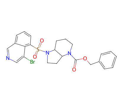 O=C(OCc1ccccc1)N1CCCC2C1CCN2S(=O)(=O)c1cccc2cncc(Br)c12